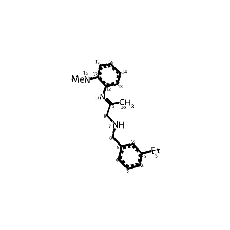 CCc1cccc(CNC/C(C)=N/c2ccccc2NC)c1